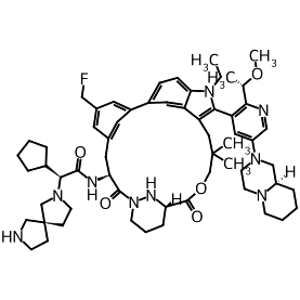 CCn1c(-c2cc(N3CCN4CCCC[C@@H]4C3)cnc2[C@H](C)OC)c2c3cc(ccc31)-c1cc(CF)cc(c1)C[C@H](NC(=O)[C@H](C1CCCC1)N1CC[C@]3(CCNC3)C1)C(=O)N1CCC[C@H](N1)C(=O)OCC(C)(C)C2